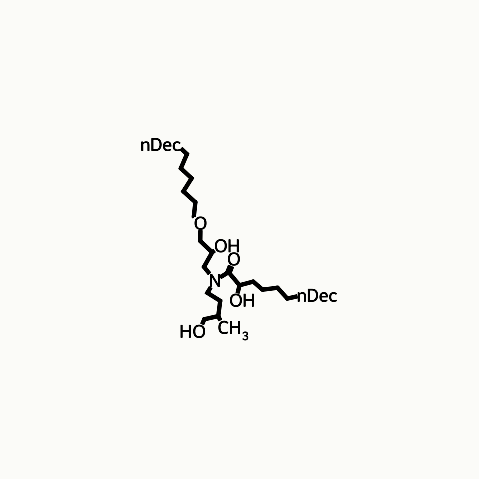 CCCCCCCCCCCCCCCCOCC(O)CN(CCC(C)CO)C(=O)C(O)CCCCCCCCCCCCCC